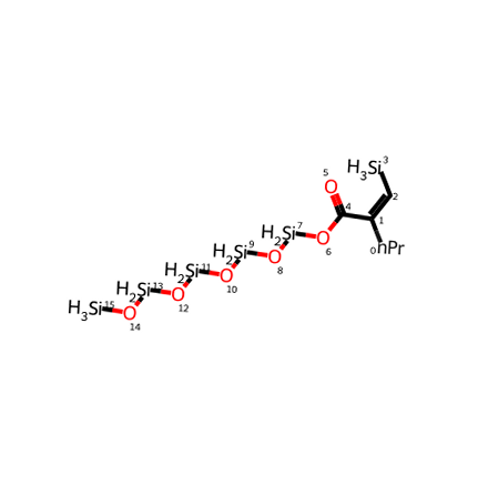 CCCC(=C[SiH3])C(=O)O[SiH2]O[SiH2]O[SiH2]O[SiH2]O[SiH3]